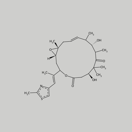 C/C(=C\c1csc(C)n1)C1C[C@@H]2O[C@]2(C)C/C=C/C(C)[C@H](O)C(C)C(=O)C(C)(C)[C@@H](O)CC(=O)O1